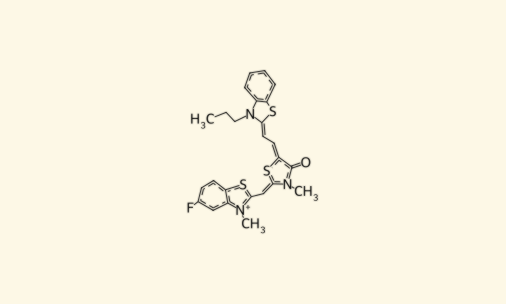 CCCN1/C(=C/C=c2\s/c(=C\c3sc4ccc(F)cc4[n+]3C)n(C)c2=O)Sc2ccccc21